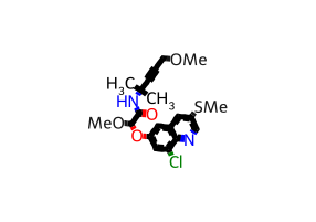 COCC#CC(C)(C)NC(=O)C(OC)Oc1cc(Cl)c2ncc(SC)cc2c1